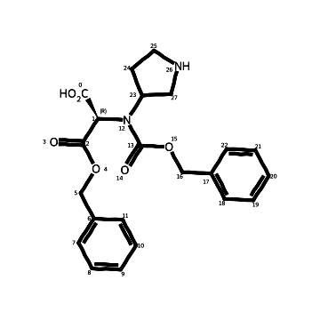 O=C(O)[C@H](C(=O)OCc1ccccc1)N(C(=O)OCc1ccccc1)C1CCNC1